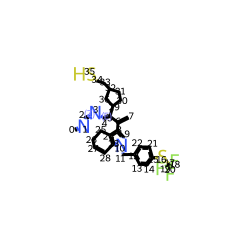 C=N/C=N\C=C(\C(=C)c1cn(Cc2ccc(SC(F)(F)F)cc2)c2c1CCC=C2)C1CCC(CCS)C1